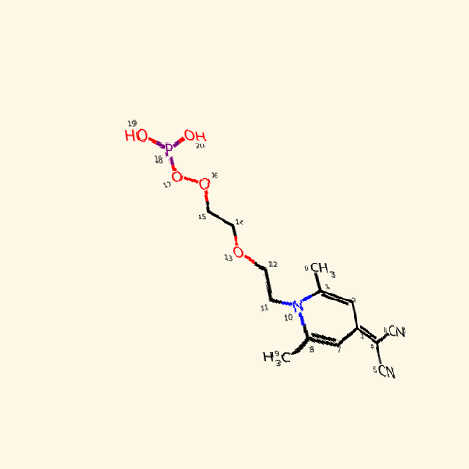 CC1=CC(=C(C#N)C#N)C=C(C)N1CCOCCOOP(O)O